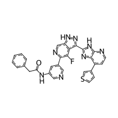 O=C(Cc1ccccc1)Nc1cncc(-c2ncc3[nH]nc(-c4nc5c(-c6ccsc6)ccnc5[nH]4)c3c2F)c1